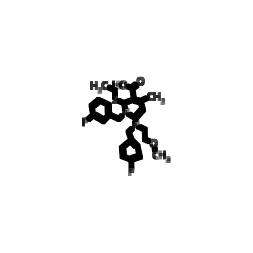 CCSC1C(C(=O)O)=C(C)C=C(N(CCOC)Cc2ccc(F)cc2)N1Cc1cccc(F)c1